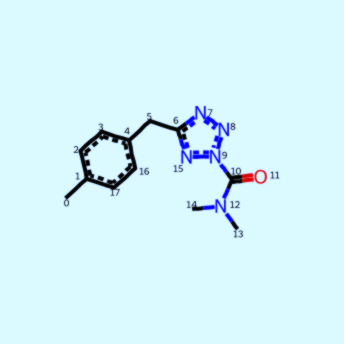 Cc1ccc(Cc2nnn(C(=O)N(C)C)n2)cc1